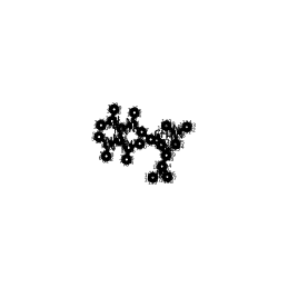 CC1(C)c2cc(-c3ccc(-c4cc(-c5ccccc5)nc(-c5cc(-c6nc(-c7ccccc7)cc(-c7ccccc7)n6)nc(-c6nc(-c7nc(-c8ccccc8)cc(-c8ccccc8)n7)cc(-c7nc(-c8ccccc8)cc(-c8ccccc8)n7)n6)n5)n4)cc3)ccc2-c2cc3c4cc(-c5ccc6c(c5)c5ccccc5n6-c5ccccc5)ccc4n(-c4cccc(-c5nc(-c6ccccc6)nc(-c6ccccc6)n5)c4)c3cc21